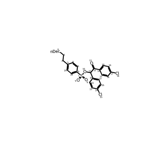 CCCCCCCCCCCCc1ccc(S(=O)(=O)OC(C(=O)c2ccc(Cl)cc2)c2ccc(Cl)cc2)cc1